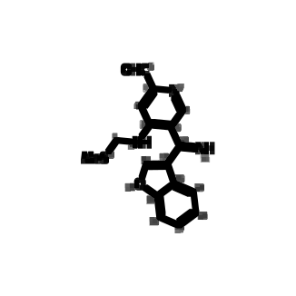 CSCNc1cc(C=O)ncc1C(=N)c1coc2ccccc12